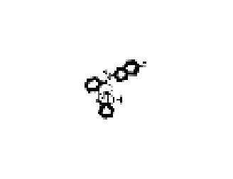 CN(C[C@@H]1CCCC[C@H]1N(Cc1ccccc1)C(=O)O)[C@H]1CCc2cc(F)ccc2C1